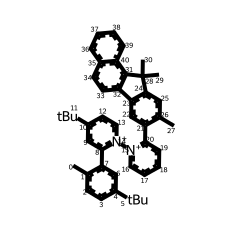 Cc1ccc(C(C)(C)C)cc1-c1cc(C(C)(C)C)cc[n+]1-[n+]1ccccc1-c1cc2c(cc1C)C(C)(C)c1c-2ccc2ccccc12